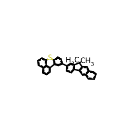 CC1(C)c2cc(-c3ccc4c(c3)-c3cccc5cccc(c35)S4)ccc2-c2cc3ccccc3cc21